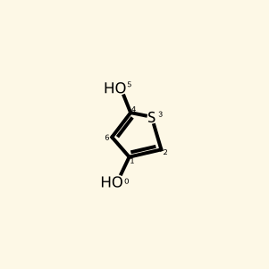 Oc1csc(O)c1